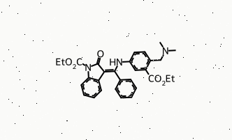 CCOC(=O)c1cc(N/C(=C2\C(=O)N(C(=O)OCC)c3ccccc32)c2ccccc2)ccc1CN(C)C